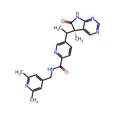 Cc1cc(CNC(=O)c2ccc(C(C)[C@@]3(C)C(=O)Nc4ncncc43)cn2)cc(C)n1